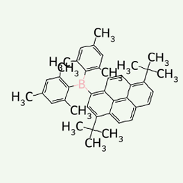 Cc1cc(C)c(B(c2c(C)cc(C)cc2C)c2cc(C(C)(C)C)c3ccc4ccc(C(C)(C)C)c5ccc2c3c45)c(C)c1